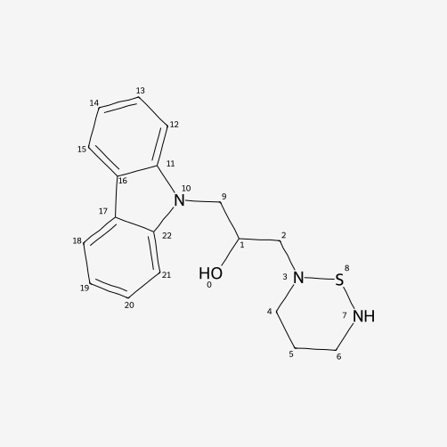 OC(CN1CCCNS1)Cn1c2ccccc2c2ccccc21